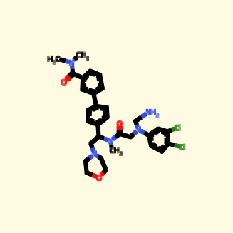 CN(C)C(=O)c1cccc(-c2ccc(C(CN3CCOCC3)N(C)C(=O)CN(CN)c3ccc(Cl)c(Cl)c3)cc2)c1